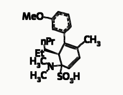 CCCC(CC)[C@H]1C(c2cccc(OC)c2)=C(C)C=CC1(N(C)C)S(=O)(=O)O